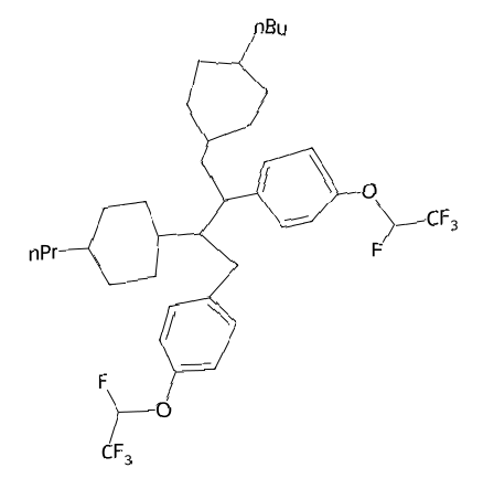 CCCCC1CCC(CC(c2ccc(OC(F)C(F)(F)F)cc2)C(Cc2ccc(OC(F)C(F)(F)F)cc2)C2CCC(CCC)CC2)CC1